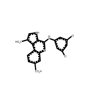 O=C(O)c1ccc2c(c1)nc(Nc1cc(Cl)cc(Cl)c1)c1[nH]cc(C(=O)O)c12